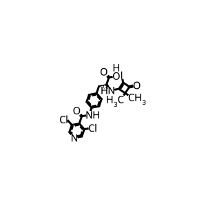 CC1(C)C(=O)C(I)=C1N[C@@H](Cc1ccc(NC(=O)c2c(Cl)cncc2Cl)cc1)C(=O)O